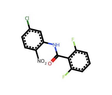 O=C(Nc1cc(Cl)ccc1[N+](=O)[O-])c1c(F)cccc1F